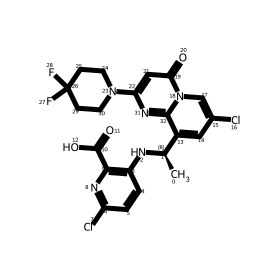 C[C@@H](Nc1ccc(Cl)nc1C(=O)O)c1cc(Cl)cn2c(=O)cc(N3CCC(F)(F)CC3)nc12